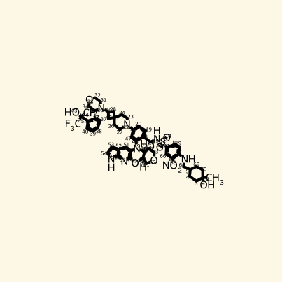 CC1(O)CCC(CNc2ccc(S(=O)(=O)NC(=O)c3ccc(N4CCC5(CC4)CC(N4CCOC[C@H]4c4ccccc4C(O)(C(F)(F)F)C(F)(F)F)C5)cc3N3c4cc5cc[nH]c5nc4O[C@H]4COCC[C@@H]43)cc2[N+](=O)[O-])CC1